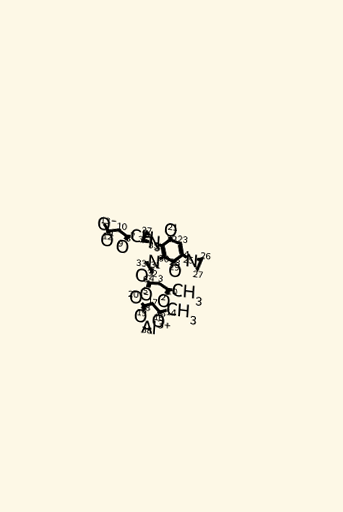 CC(=O)CC(=O)[O-].CC(=O)CC(=O)[O-].CC(=O)CC(=O)[O-].O=C1C=C(N2CC2)C(=O)C(N2CC2)=C1N1CC1.[Al+3]